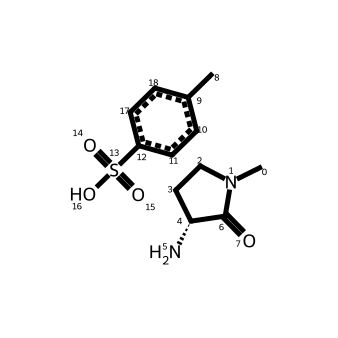 CN1CC[C@@H](N)C1=O.Cc1ccc(S(=O)(=O)O)cc1